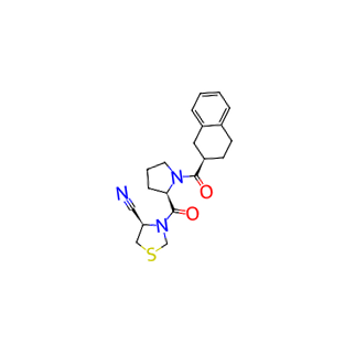 N#C[C@@H]1CSCN1C(=O)[C@H]1CCCN1C(=O)[C@@H]1CCc2ccccc2C1